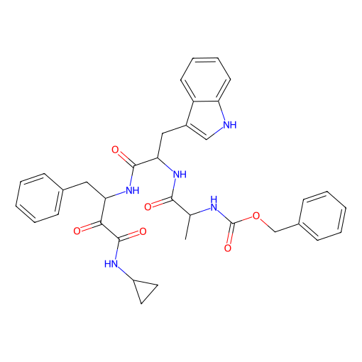 CC(NC(=O)OCc1ccccc1)C(=O)NC(Cc1c[nH]c2ccccc12)C(=O)NC(Cc1ccccc1)C(=O)C(=O)NC1CC1